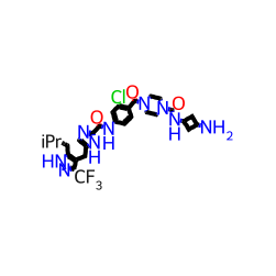 CC(C)Cc1[nH]nc(C(F)(F)F)c1Cc1cnc(C(=O)Nc2ccc(C(=O)N3CCN(C(=O)NC4CC(N)C4)CC3)c(Cl)c2)[nH]1